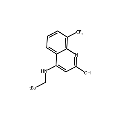 CC(C)(C)CNc1cc(O)nc2c(C(F)(F)F)cccc12